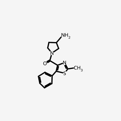 Cc1nc(C(=O)N2CCC(N)C2)c(-c2ccccc2)s1